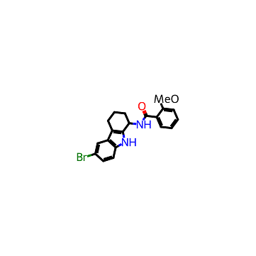 COc1ccccc1C(=O)NC1CCCc2c1[nH]c1ccc(Br)cc21